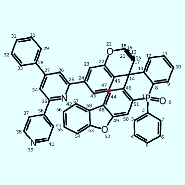 O=P1(c2ccccc2)c2ccccc2C2(c3ccccc3Oc3cc(-c4cc(-c5ccccc5)cc(-c5ccncc5)n4)ccc32)c2cc3c(cc21)oc1ccccc13